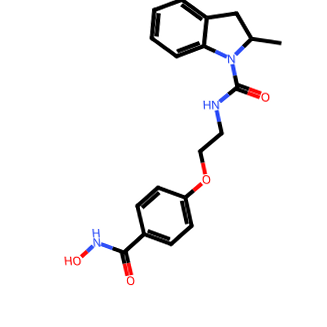 CC1Cc2ccccc2N1C(=O)NCCOc1ccc(C(=O)NO)cc1